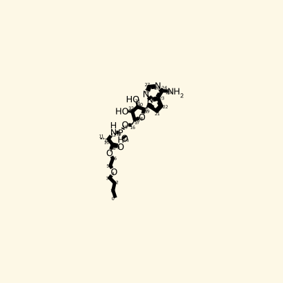 CCCCOCCOC(=O)[C@H](C)N[PH](=O)OC[C@H]1O[C@@H](c2ccc3c(N)ncnn23)[C@H](O)[C@@H]1O